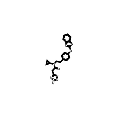 O=C(Cc1nn[nH]n1)N(CCc1ccc(Oc2nc3ccccc3s2)cc1)C1CC1